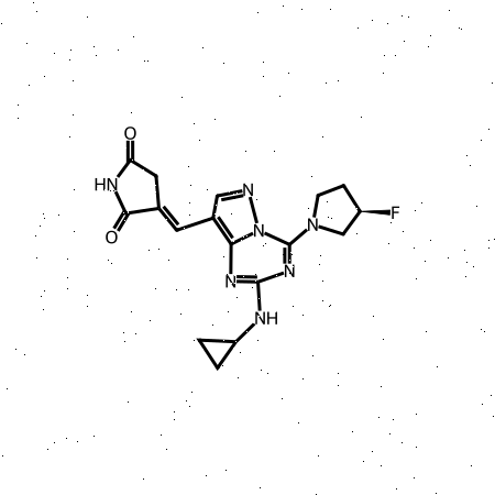 O=C1C/C(=C\c2cnn3c(N4CC[C@@H](F)C4)nc(NC4CC4)nc23)C(=O)N1